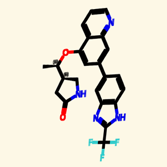 C[C@@H](Oc1cc(-c2ccc3[nH]c(C(F)(F)F)nc3c2)cc2ncccc12)[C@H]1CNC(=O)C1